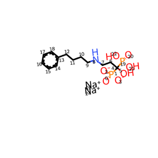 O=P([O-])([O-])C(O)(CCNCCCCc1ccccc1)P(=O)(O)O.[Na+].[Na+]